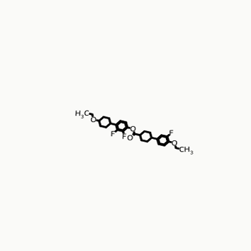 CCOc1ccc(C2CCC(C(=O)Oc3ccc(C4CCC(OCC)CC4)c(F)c3F)CC2)cc1F